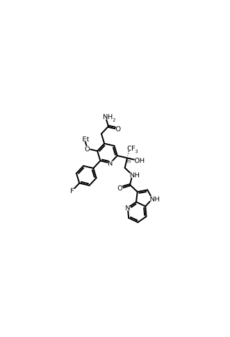 CCOc1c(CC(N)=O)cc([C@@](O)(CNC(=O)c2c[nH]c3cccnc23)C(F)(F)F)nc1-c1ccc(F)cc1